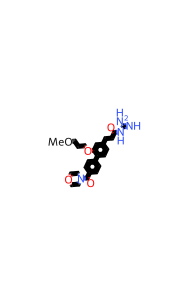 COCCCOc1cc(CCC(=O)NC(=N)N)ccc1-c1ccc(C(=O)N2CCOCC2)cc1